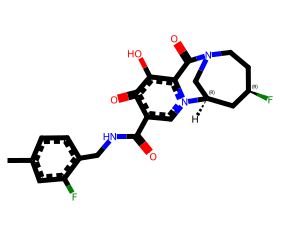 Cc1ccc(CNC(=O)c2cn3c(c(O)c2=O)C(=O)N2CC[C@@H](F)C[C@@H]3C2)c(F)c1